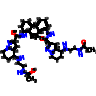 CC(=O)NCCNC1CCCn2nc(C(=O)Nc3cccc(-c4cccc(NC(=O)c5cc6n(n5)CCCC6NCCNC(C)=O)c4C)c3C)cc21